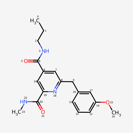 CCCNC(=O)c1cc(Cc2cccc(OC)c2)nc(C(=O)NC)c1